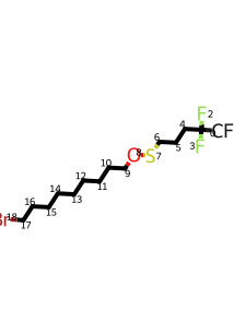 FC(F)(F)C(F)(F)CCCSOCCCCCCCCCBr